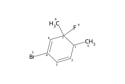 CC1C=CC(Br)=CC1(C)F